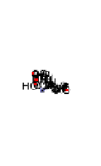 C/C=C/Cn1c(N2CCC[C@@H](N(C=O)OC(C)(C)C)C2)nc2c1c(=O)n(CC(=O)c1ccccc1NCC(=O)O)c(=O)n2C